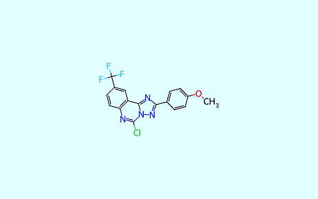 COc1ccc(-c2nc3c4cc(C(F)(F)F)ccc4nc(Cl)n3n2)cc1